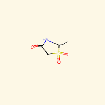 CC1NC(=O)CS1(=O)=O